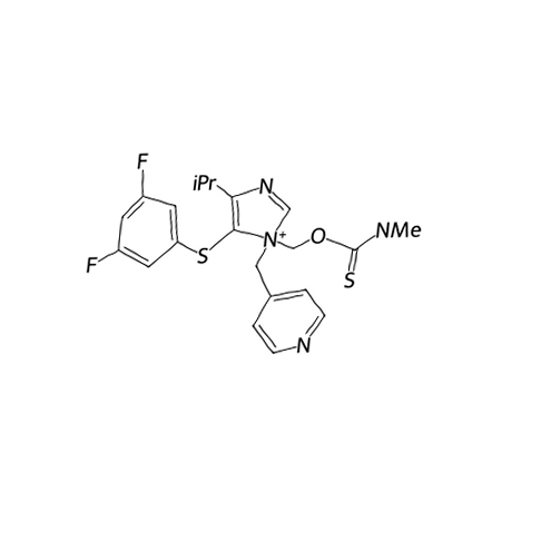 CNC(=S)OC[N+]1(Cc2ccncc2)C=NC(C(C)C)=C1Sc1cc(F)cc(F)c1